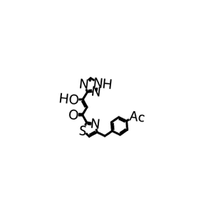 CC(=O)c1ccc(Cc2csc(C(=O)C=C(O)c3nc[nH]n3)n2)cc1